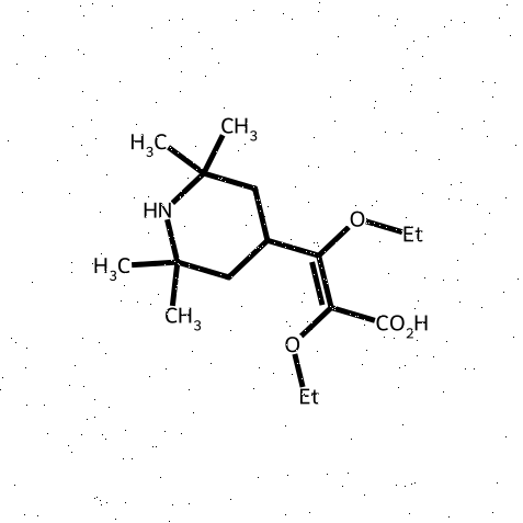 CCOC(C(=O)O)=C(OCC)C1CC(C)(C)NC(C)(C)C1